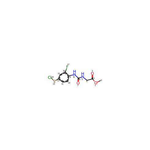 COC(=O)CNC(=O)Nc1ccc(SCl)cc1F